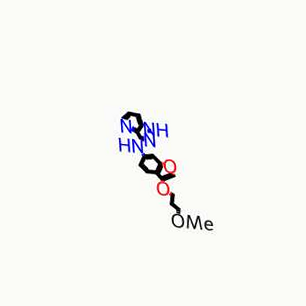 COCCCOc1coc2cc(Nc3n[nH]c4cccnc34)ccc12